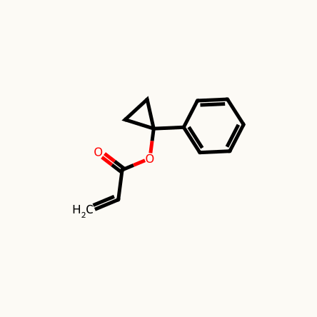 C=CC(=O)OC1(c2ccccc2)CC1